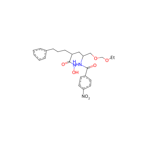 CCOCOCC(CC(CCCc1ccccc1)C(=O)NO)NC(=O)c1ccc([N+](=O)[O-])cc1